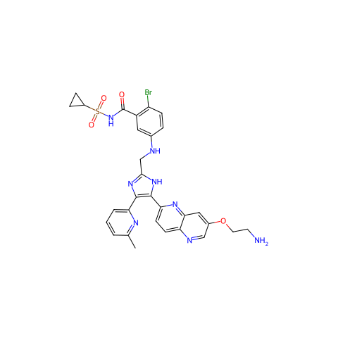 Cc1cccc(-c2nc(CNc3ccc(Br)c(C(=O)NS(=O)(=O)C4CC4)c3)[nH]c2-c2ccc3ncc(OCCN)cc3n2)n1